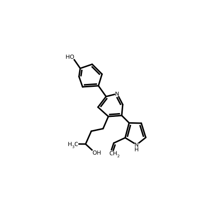 C=Cc1[nH]ccc1-c1cnc(-c2ccc(O)cc2)cc1CCC(C)O